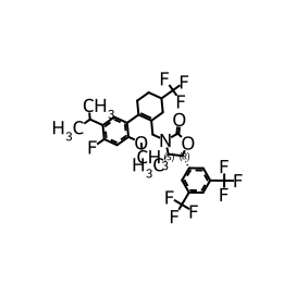 COc1cc(F)c(C(C)C)cc1C1=C(CN2C(=O)O[C@H](c3cc(C(F)(F)F)cc(C(F)(F)F)c3)[C@@H]2C)CC(C(F)(F)F)CC1